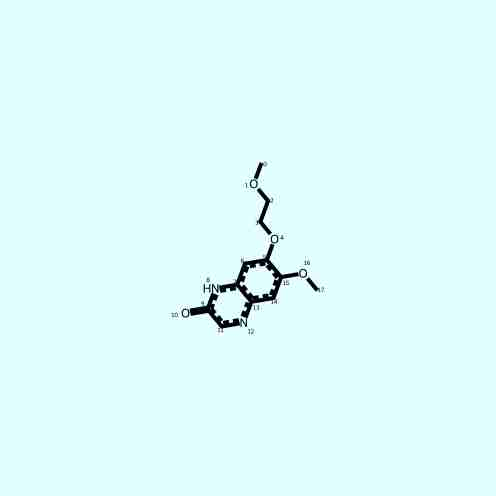 COCCOc1cc2[nH]c(=O)cnc2cc1OC